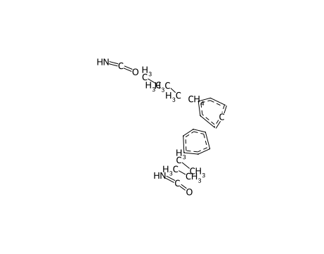 C.CC.CC.CC.CC.N=C=O.N=C=O.c1ccccc1.c1ccccc1